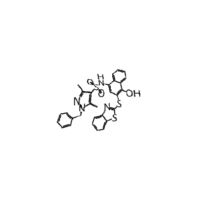 Cc1nn(Cc2ccccc2)c(C)c1S(=O)(=O)Nc1cc(Sc2nc3ccccc3s2)c(O)c2ccccc12